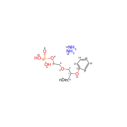 CCCCCCCCCCC(COCCOP(=O)(O)O)Oc1ccccc1.N.N